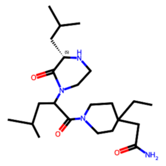 CCC1(CC(N)=O)CCN(C(=O)C(CC(C)C)N2CCN[C@@H](CC(C)C)C2=O)CC1